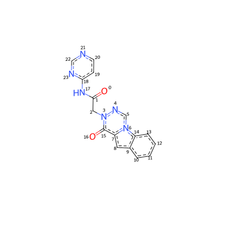 O=C(Cn1ncn2c(cc3ccccc32)c1=O)Nc1ccncn1